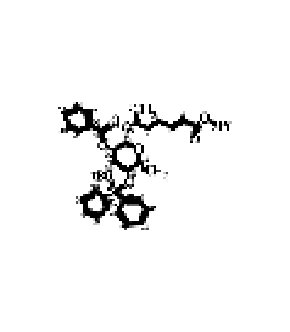 CC(C)OC(=O)/C=C/CCC(C)O[C@@H]1O[C@@H](C)[C@H](O[Si](c2ccccc2)(c2ccccc2)C(C)(C)C)C[C@H]1OC(=O)c1ccccc1